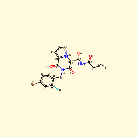 CCC(=O)NC(=O)[C@@H]1C(=O)N(Cc2ccc(Br)cc2F)C(=O)c2cccn21